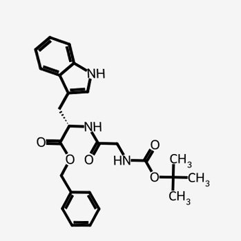 CC(C)(C)OC(=O)NCC(=O)N[C@@H](Cc1c[nH]c2ccccc12)C(=O)OCc1ccccc1